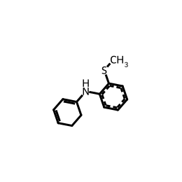 CSc1ccccc1NC1=CC=CCC1